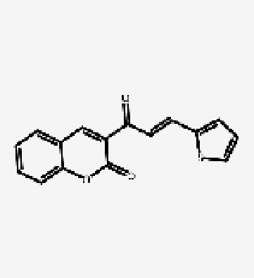 O=C(C=Cc1cccs1)c1cc2ccccc2oc1=O